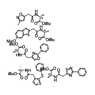 CC(C)COC(=O)[C@H](C)NC(=O)Cc1ccsc1Sc1ccccc1.CC(C)COC(=O)[C@H](C)NC(=O)Cc1coc(-c2ccccc2)n1.CC(C)COC(=O)[C@H](C)NC(=O)Cc1nc(-c2ccccc2)ns1.COc1ccc2cc(CC(=O)N[C@@H](C)C(=O)OCC(C)C)sc2c1.Cc1cc(CC(=O)N[C@@H](C)C(=O)OCC(C)C)on1